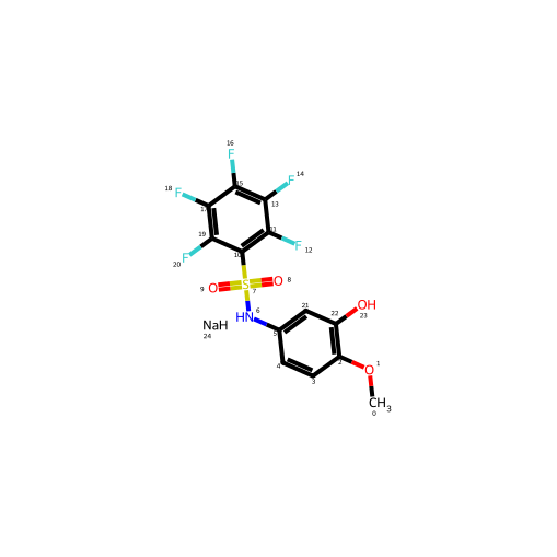 COc1ccc(NS(=O)(=O)c2c(F)c(F)c(F)c(F)c2F)cc1O.[NaH]